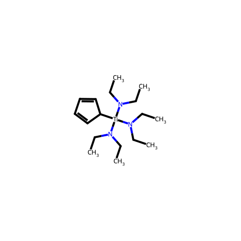 CC[N](CC)[Ti]([CH]1C=CC=C1)([N](CC)CC)[N](CC)CC